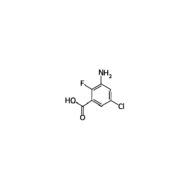 Nc1cc(Cl)cc(C(=O)O)c1F